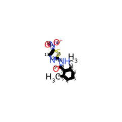 Cc1cccc(C)c1C(=O)Nc1ncc([N+](=O)[O-])s1